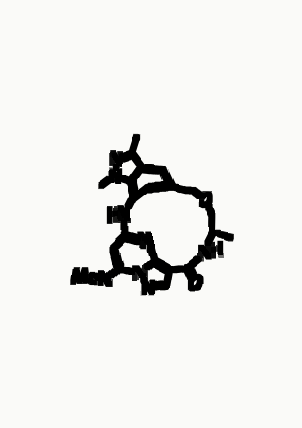 CNc1cc2nc3c(cnn13)C(=O)N[C@H](C)COCc1cc(c3c(c1)c(C)nn3C)N2